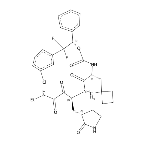 CCNC(=O)C(=O)[C@H](C[C@@H]1CCNC1=O)NC(=O)[C@@H](CC1(C)CCC1)NC(=O)O[C@@H](c1ccccc1)C(F)(F)c1cccc(Cl)c1